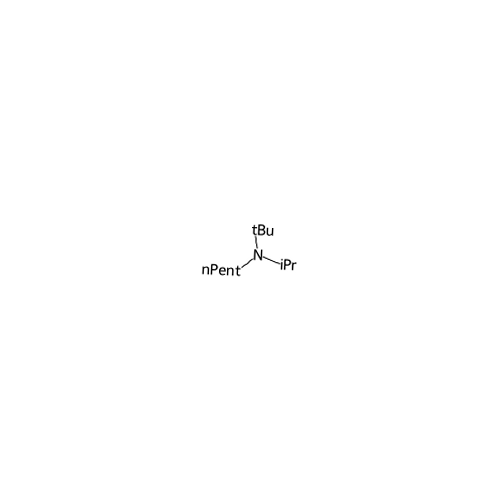 CCCCCN(C(C)C)C(C)(C)C